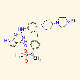 CCN1CCN(C2CCN(c3ccc(Nc4nc(Nc5ccccc5N(C)S(C)(=O)=O)c5cc[nH]c5n4)cc3F)CC2)CC1